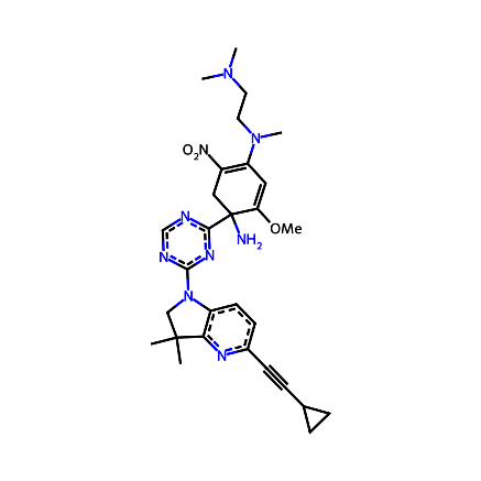 COC1=CC(N(C)CCN(C)C)=C([N+](=O)[O-])CC1(N)c1ncnc(N2CC(C)(C)c3nc(C#CC4CC4)ccc32)n1